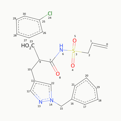 C=CCS(=O)(=O)NC(=O)C(Cc1cnn(Cc2ccccc2)c1)C(=O)O.Clc1ccccc1